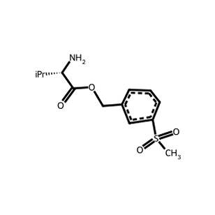 CC(C)[C@H](N)C(=O)OCc1cccc(S(C)(=O)=O)c1